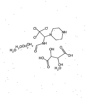 O.O.O.O.O.O=C(O)C(O)C(O)C(=O)O.O=CNC(N1CCNCC1)C(Cl)(Cl)Cl